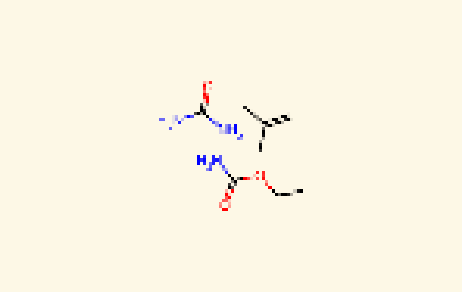 C=C(C)C.CCOC(N)=O.NC(N)=O